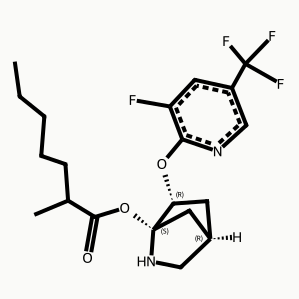 CCCCCC(C)C(=O)O[C@]12C[C@H](CN1)C[C@H]2Oc1ncc(C(F)(F)F)cc1F